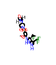 COc1cc(S(=O)(=O)N2CCC(N3C[C@@H]4C[C@H]3CO4)CC2)ccc1Nc1cc(C2CC2)c2c(C(F)(F)F)c[nH]c2n1